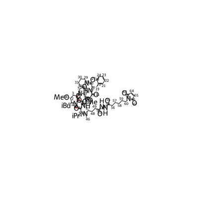 CC[C@H](C)[C@@H]([C@@H](CC(=O)N1CCC[C@H]1[C@H](OC)[C@@H](C)C(=O)N[C@@H](Cc1ccccc1)C(=O)N1CCCCO1)OC)N(C)C(=O)[C@@H](NC(=O)[C@H](C(C)C)N(C)CCCC(=O)NNC(=O)CCCCCN1C(=O)C=CC1=O)C(C)C